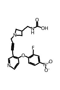 O=C(O)NCC1CN(CC#Cc2cnccc2Oc2ccc([N+](=O)[O-])cc2F)C1